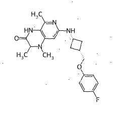 Cc1nc(N[C@H]2C[C@@H](COc3ccc(F)cc3)C2)cc2c1NC(=O)C(C)N2C